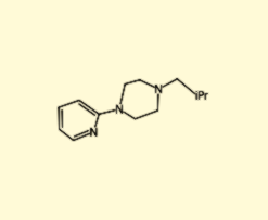 CC(C)CN1CCN(c2ccccn2)CC1